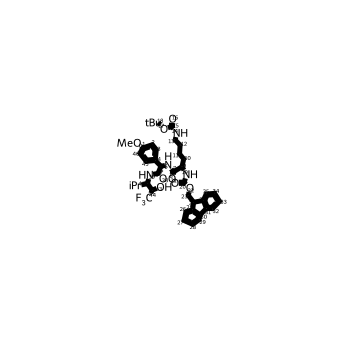 COc1ccc(C(NC(=O)C(CCCCNC(=O)OC(C)(C)C)NC(=O)OCC2c3ccccc3-c3ccccc32)C(=O)NC(C(C)C)C(O)C(F)(F)F)cc1